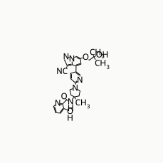 CC(C)(O)COc1cc(-c2ccc(N3CCC(C)(NC(=O)c4ncccc4O)CC3)nc2)c2c(C#N)cnn2c1